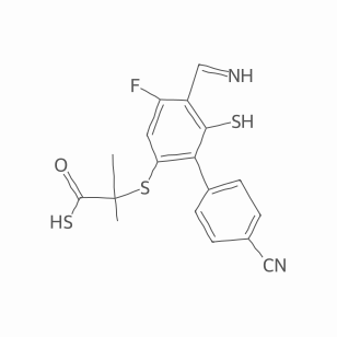 CC(C)(Sc1cc(F)c(C=N)c(S)c1-c1ccc(C#N)cc1)C(=O)S